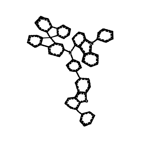 c1ccc(-c2cccc3c2oc2ccc(-c4ccc(N(c5ccc6c(c5)C5(c7ccccc7-c7ccccc75)c5ccccc5-6)c5cccc6c5c5ccccc5n6-c5ccccc5)cc4)cc23)cc1